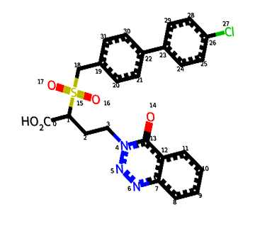 O=C(O)C(CCn1nnc2ccccc2c1=O)S(=O)(=O)Cc1ccc(-c2ccc(Cl)cc2)cc1